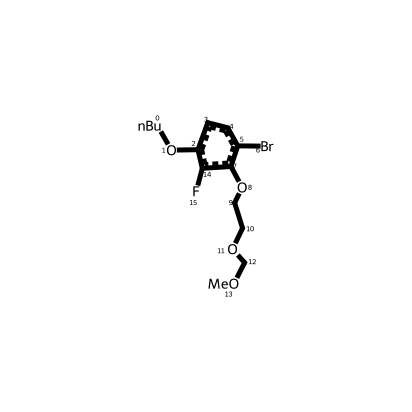 CCCCOc1ccc(Br)c(OCCOCOC)c1F